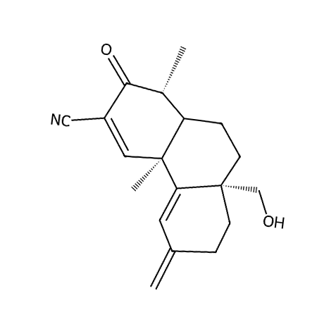 C=C1C=C2[C@](CO)(CC1)CCC1[C@@H](C)C(=O)C(C#N)=C[C@]21C